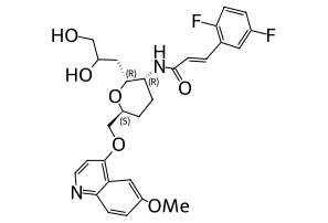 COc1ccc2nccc(OC[C@@H]3CC[C@@H](NC(=O)C=Cc4cc(F)ccc4F)[C@@H](CC(O)CO)O3)c2c1